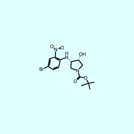 CC(C)(C)OC(=O)N1C[C@@H](O)[C@@H](Nc2ccc(Br)cc2[N+](=O)[O-])C1